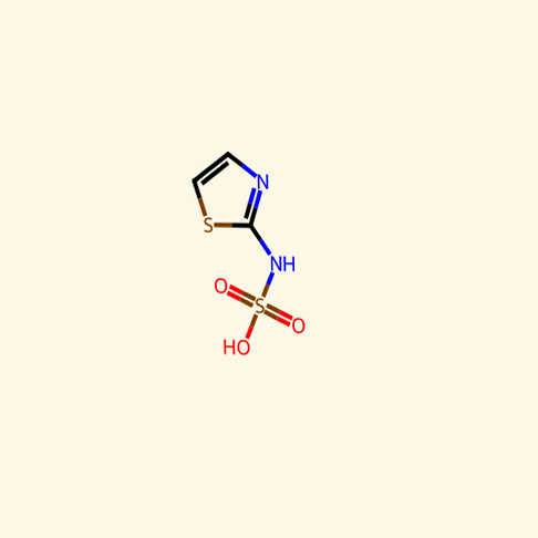 O=S(=O)(O)Nc1nccs1